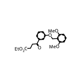 CCOC(=O)CCC(=O)c1cccc(OCc2c(OC)cccc2OC)c1